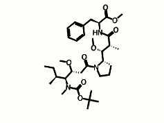 CC[C@H](C)[C@@H]([C@@H](CC(=O)N1CCC[C@H]1[C@H](OC)[C@@H](C)C(=O)N[C@@H](Cc1ccccc1)C(=O)OC)OC)N(C)C(=O)OC(C)(C)C